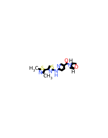 Cc1nc(C)c(-c2csc(Nc3ccc(C(=O)N4C[C@@H]5C[C@H]4CO5)cn3)n2)s1